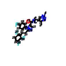 Cc1nn(C)cc1CN(C)C(=O)c1cnc(CCc2c(F)ccc(F)c2F)n1-c1ccc(F)cc1